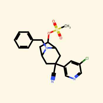 CS(=O)(=O)OC1CC2CC(C#N)(c3cncc(Cl)c3)CC1N2Cc1ccccc1